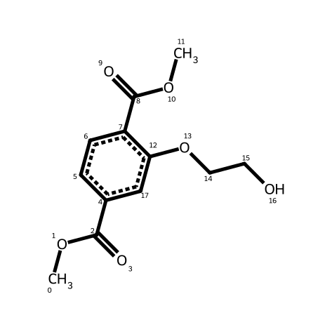 COC(=O)c1ccc(C(=O)OC)c(OCCO)c1